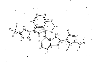 Cc1nn(C(C)C)c(C)c1-c1nc2nccc(C3(NC(=O)c4nc(C(C)(C)C)no4)CCCc4ccccc43)c2[nH]1